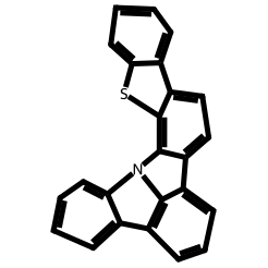 c1ccc2c(c1)sc1c2ccc2c3cccc4c5ccccc5n(c43)c21